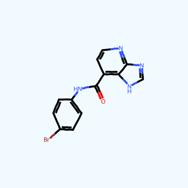 O=C(Nc1ccc(Br)cc1)c1ccnc2nc[nH]c12